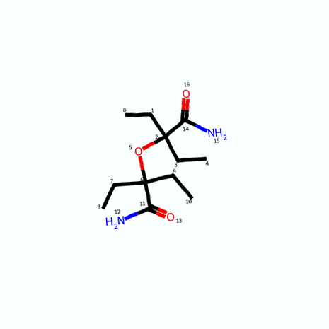 CCC(CC)(OC(CC)(CC)C(N)=O)C(N)=O